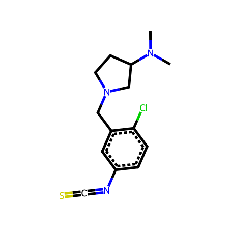 CN(C)C1CCN(Cc2cc(N=C=S)ccc2Cl)C1